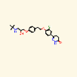 CC(C)(C)NCC(O)COc1ccc(CCOc2ccc(C3=NNC(=O)CC3)cc2Cl)cc1